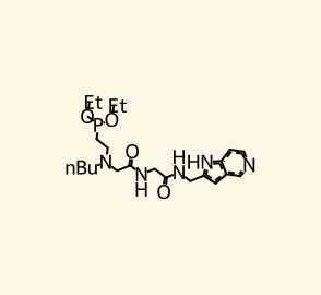 CCCCN(CCP(OCC)OCC)CC(=O)NCC(=O)NCc1cc2cnccc2[nH]1